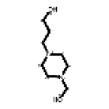 OCCCN1CCN(CO)CC1